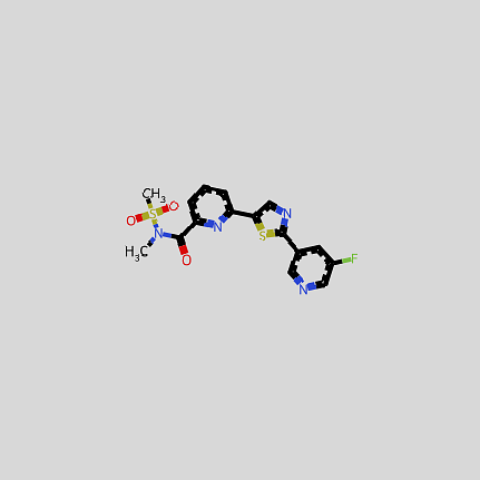 CN(C(=O)c1cccc(-c2cnc(-c3cncc(F)c3)s2)n1)S(C)(=O)=O